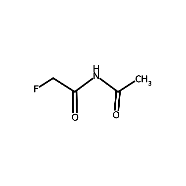 CC(=O)NC(=O)CF